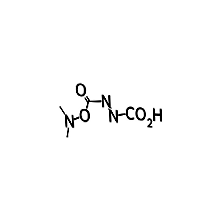 CN(C)OC(=O)N=NC(=O)O